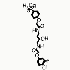 CS(=O)(=O)c1ccc(OCC(=O)NCC[C@H](O)CNC(=O)COc2ccc(Cl)c(F)c2)cc1